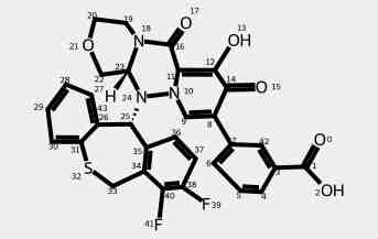 O=C(O)c1cccc(-c2cn3c(c(O)c2=O)C(=O)N2CCOC[C@H]2N3[C@H]2c3ccccc3SCc3c2ccc(F)c3F)c1